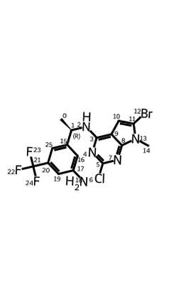 C[C@@H](Nc1nc(Cl)nc2c1cc(Br)n2C)c1cc(N)cc(C(F)(F)F)c1